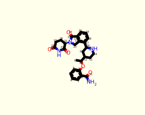 CC(Oc1ccccc1C(N)=O)C1CCNC(c2cccc3c2CN([C@@H]2CCC(=O)NC2=O)C3=O)C1